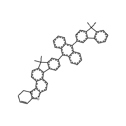 CC1(C)c2ccccc2-c2cc(-c3c4ccccc4c(-c4ccc5c(c4)C(C)(C)c4ccc6c(ccc7oc8c(c76)CCC=C8)c4-5)c4ccccc34)ccc21